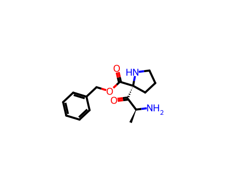 C[C@H](N)C(=O)[C@@]1(C(=O)OCc2ccccc2)CCCN1